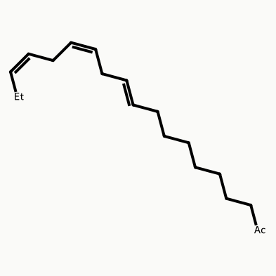 CC/C=C\C/C=C\C/C=C/CCCCCCCC(C)=O